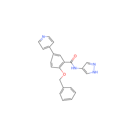 O=C(Nc1cn[nH]c1)c1cc(-c2ccncc2)ccc1OCc1ccccc1